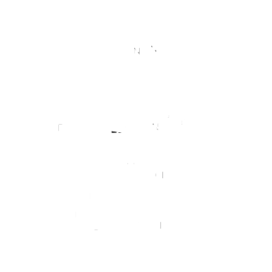 C[C@@H](O[C@H]1CN2C(=O)C=C(c3cnn(Cc4ccccc4)c3)CC2[C@@H]1c1ccc(F)cc1)c1cc(C(F)(F)F)cc(C(F)(F)F)c1